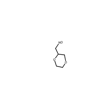 O=NCC1COCCO1